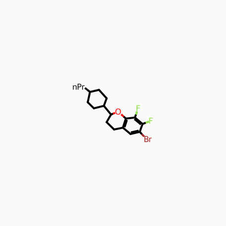 CCCC1CCC(C2CCc3cc(Br)c(F)c(F)c3O2)CC1